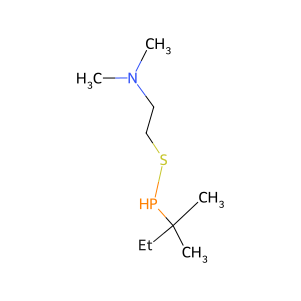 CCC(C)(C)PSCCN(C)C